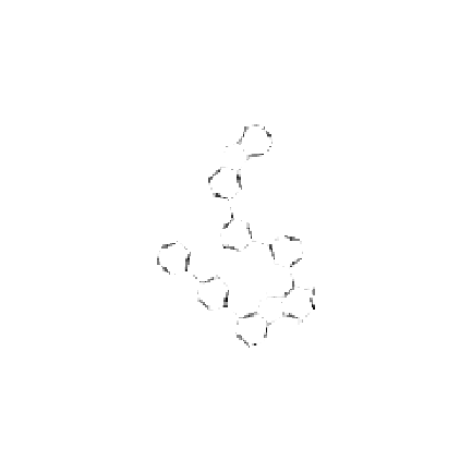 c1ccc(-c2ccc(-c3cccc4c3oc3c(-c5cccc(-c6cccc(-c7ccc8oc9ccccc9c8c7)c6)c5)ncnc34)cc2)cc1